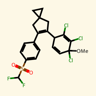 COC1(Cl)C=CC(C2=C(c3ccc(S(=O)(=O)C(F)F)cc3)CC3(CC3)C2)C(Cl)=C1Cl